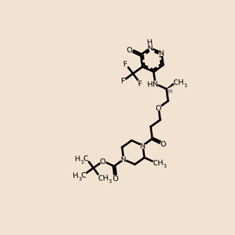 CC1CN(C(=O)OC(C)(C)C)CCN1C(=O)CCOC[C@H](C)Nc1cn[nH]c(=O)c1C(F)(F)F